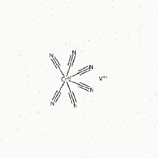 N#[C][Cr-4]([C]#N)([C]#N)([C]#N)([C]#N)[C]#N.[V+4]